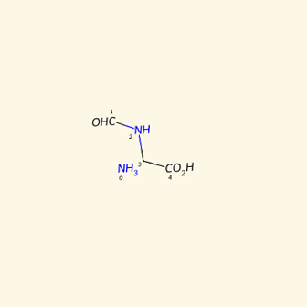 N.O=CNCC(=O)O